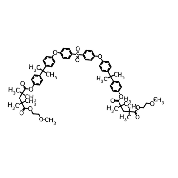 COCCOC(=O)C(C)(C)CC(C)(C)C(=O)Oc1ccc(C(C)(C)c2ccc(Oc3ccc(S(=O)(=O)c4ccc(Oc5ccc(C(C)(C)c6ccc(OC(=O)C(C)(C)CC(C)(C)C(=O)OCCOC)cc6)cc5)cc4)cc3)cc2)cc1